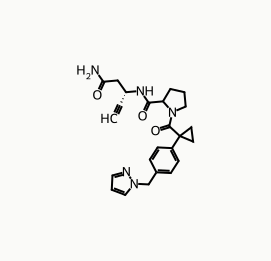 C#C[C@H](CC(N)=O)NC(=O)C1CCCN1C(=O)C1(c2ccc(Cn3cccn3)cc2)CC1